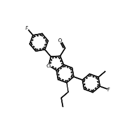 CCCc1cc2oc(-c3ccc(F)cc3)c(C=O)c2cc1-c1ccc(F)c(C)c1